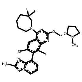 CN1CCC[C@H]1COc1nc(N2CCCCC(F)(F)C2)c2cc(Cl)c(-c3cccn4nc(N)nc34)c(F)c2n1